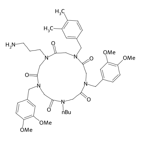 CCCCN1CC(=O)N(Cc2ccc(OC)c(OC)c2)CC(=O)N(Cc2ccc(C)c(C)c2)CC(=O)N(CCCN)CC(=O)N(Cc2ccc(OC)c(OC)c2)CC1=O